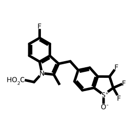 Cc1c(Cc2ccc3c(c2)C(F)C(F)(F)[S+]3[O-])c2cc(F)ccc2n1CC(=O)O